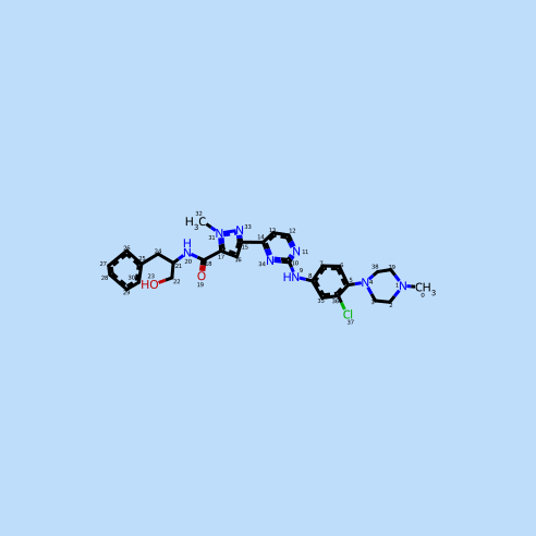 CN1CCN(c2ccc(Nc3nccc(-c4cc(C(=O)NC(CO)Cc5ccccc5)n(C)n4)n3)cc2Cl)CC1